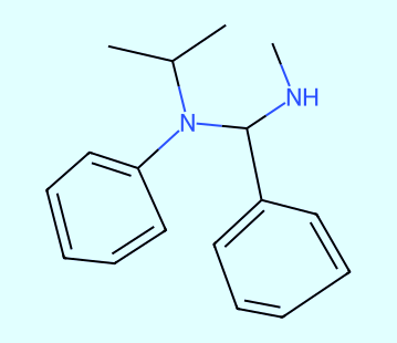 CNC(c1ccccc1)N(c1ccccc1)C(C)C